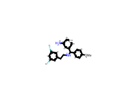 COc1ccc(C(NCCc2cc(F)cc(F)c2)c2cccc(N)c2)cc1